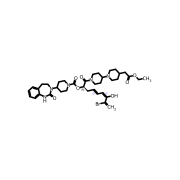 C=C(Br)/C(O)=C\C=C\C[C@@H](OC(=O)N1CCC(N2CCc3ccccc3NC2=O)CC1)C(=O)N1CCC(N2CCC(CC(=O)OCC)CC2)CC1